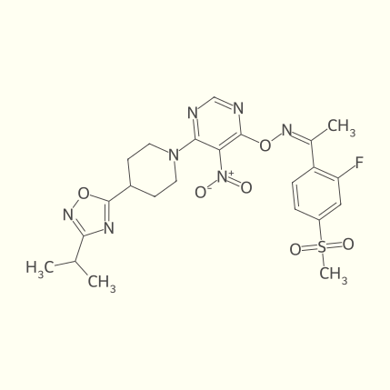 CC(=NOc1ncnc(N2CCC(c3nc(C(C)C)no3)CC2)c1[N+](=O)[O-])c1ccc(S(C)(=O)=O)cc1F